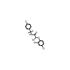 CCC(Oc1ccc(Cl)cc1Cl)C(=O)NC(C)(C)c1ccc(F)cc1